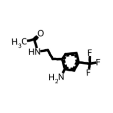 CC(=O)NCCc1ccc(C(F)(F)F)cc1N